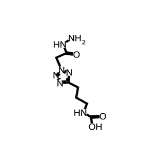 NNC(=O)Cn1nnc(CCCNC(=O)O)n1